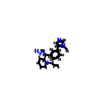 C=CCN1CCCC[C@H]1C(N)c1cccc(-c2cncn2C)c1